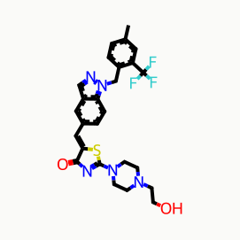 Cc1ccc(Cn2ncc3cc(/C=C4\SC(N5CCN(CCO)CC5)=NC4=O)ccc32)c(C(F)(F)F)c1